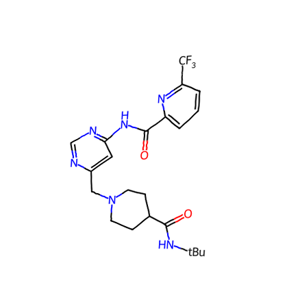 CC(C)(C)NC(=O)C1CCN(Cc2cc(NC(=O)c3cccc(C(F)(F)F)n3)ncn2)CC1